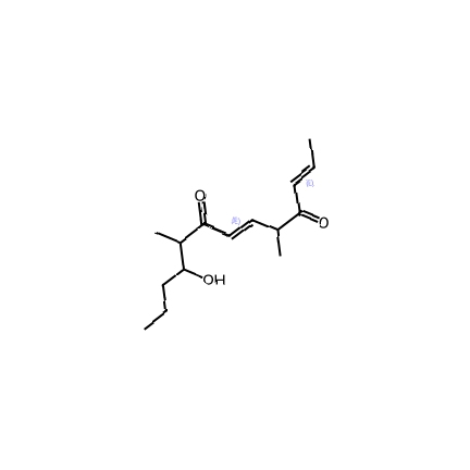 C/C=C/C(=O)C(C)/C=C/C(=O)C(C)C(O)CCC